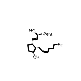 CCCCC[C@H](O)/C=C/[C@H]1CC[C@H](O)[C@@H]1C/C=C\CCCC(C)=O